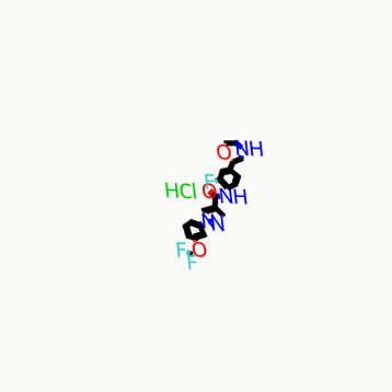 Cl.O=C(Nc1ccc(C2CNCCO2)cc1F)c1cnn(-c2cccc(OC(F)F)c2)c1